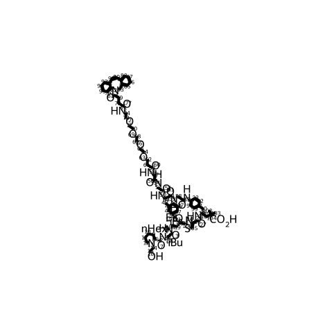 CCCCCCN(C(=O)[C@@H](NC(=O)[C@H]1CCCCN1CCO)[C@@H](C)CC)[C@H](C[C@@H](OCC)c1nc(C(=O)N[C@@H](Cc2ccc(NC(=O)CNC(=O)[C@H](Cc3ccccc3)NC(=O)CNC(=O)CNC(=O)CCOCCOCCOCCOCCNC(=O)CCC(=O)N3Cc4ccccc4C#Cc4ccccc43)cc2)CC(C)(C)C(=O)O)cs1)C(C)C